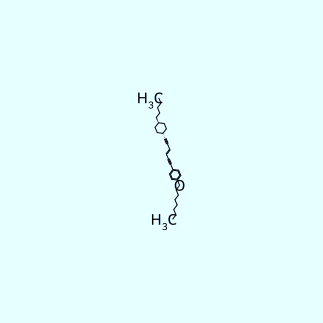 CCCCCCCOc1ccc(C#C/C=C/C#C[C@H]2CC[C@H](CCCCC)CC2)cc1